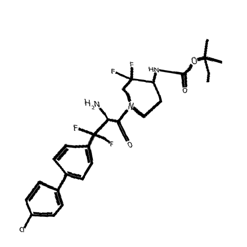 CC(C)(C)OC(=O)NC1CCN(C(=O)C(N)C(F)(F)c2ccc(-c3ccc(Cl)cc3)cc2)CC1(F)F